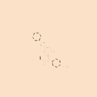 CSc1ccc([C@H](NC(=O)OC(C)(C)C)[C@H]2CN(S(=O)(=O)c3ccc(C)cc3)C[C@H]2O)cc1